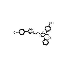 O=C1c2ccccc2OCC1(OCCCn1cc(-c2ccc(Cl)cc2)cn1)c1ccc(O)cc1